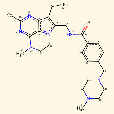 CN1CCN(Cc2ccc(C(=O)NCc3c(CC(C)(C)C)c4nc(C#N)nc5c4n3CCN5C)cc2)CC1